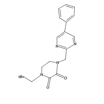 CC(C)(C)CN1CCN(Cc2ncc(-c3ccccc3)cn2)C(=O)C1=O